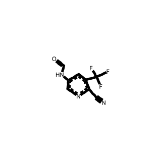 N#Cc1ncc(NC=O)cc1C(F)(F)F